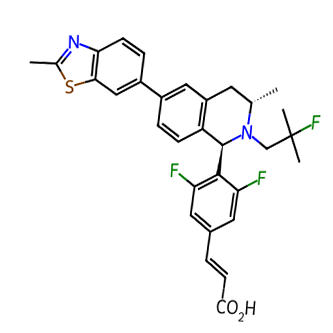 Cc1nc2ccc(-c3ccc4c(c3)C[C@H](C)N(CC(C)(C)F)[C@H]4c3c(F)cc(/C=C/C(=O)O)cc3F)cc2s1